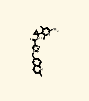 Cc1ccc2cc(Cn3cc(C(=O)NC4(c5c(C)cc(N)nc5C)CC4)nn3)ccc2n1